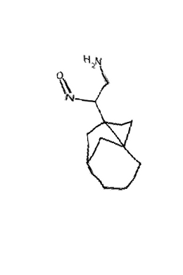 NCC(N=O)C12CC3CCCC1(C3)C2